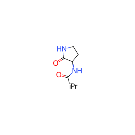 CC(C)C(=O)N[C@@H]1CCNC1=O